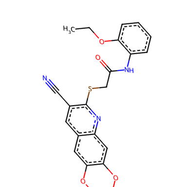 CCOc1ccccc1NC(=O)CSc1nc2cc3c(cc2cc1C#N)OCCO3